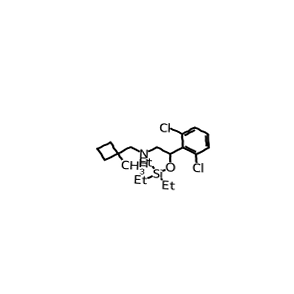 CC[Si](CC)(CC)OC(CNCC1(C)CCC1)c1c(Cl)cccc1Cl